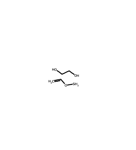 C=CO[SiH3].OCCO